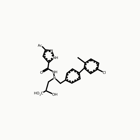 CC(=O)c1cc(C(=O)NN(Cc2ccc(-c3cc(Cl)ccc3C)cc2)CC(O)C(=O)O)[nH]n1